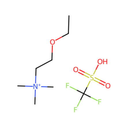 CCOCC[N+](C)(C)C.O=S(=O)(O)C(F)(F)F